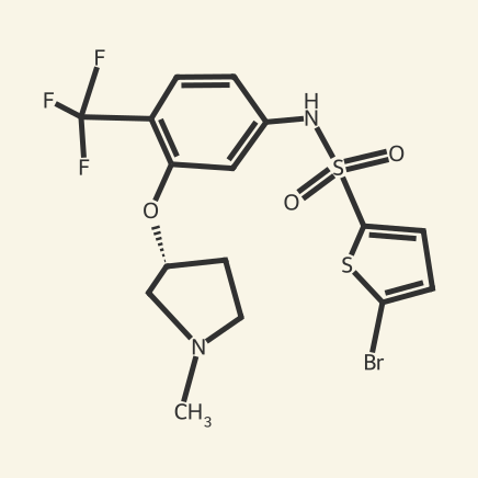 CN1CC[C@@H](Oc2cc(NS(=O)(=O)c3ccc(Br)s3)ccc2C(F)(F)F)C1